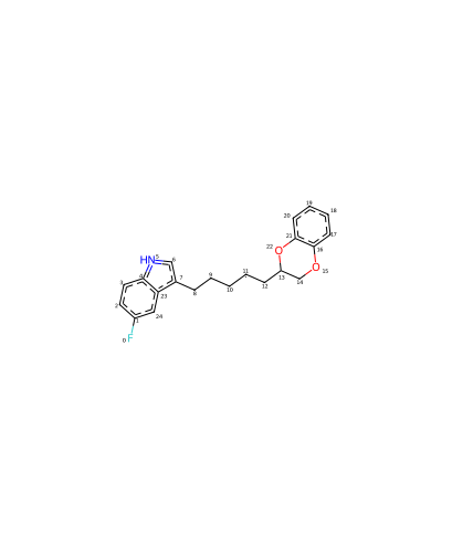 Fc1ccc2[nH]cc(CCC[CH]CC3COc4ccccc4O3)c2c1